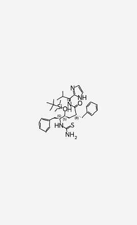 CC(C)[C@H](NC(=O)[C@H](Cc1ccccc1)C[C@H](O[Si](C)(C)C(C)(C)C)[C@H](Cc1ccccc1)NC(N)=S)c1ncc[nH]1